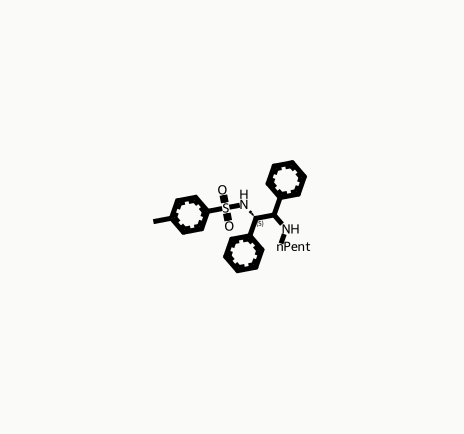 CCCCCNC(c1ccccc1)[C@@H](NS(=O)(=O)c1ccc(C)cc1)c1ccccc1